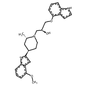 COc1cccc2sc([C@@H]3CCN(C[C@H](O)COc4cccc5[nH]ccc45)[C@@H](C)C3)cc12